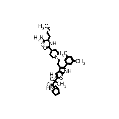 CSCCC(NC(=O)C1CCN(CCc2c(-c3cc(C)cc(C)c3)[nH]c3sc(C(C)(C)C(=O)C4C5CCC4NC5)cc23)CC1)C(N)=O